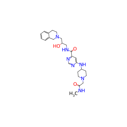 CNC(=O)CN1CCC(Nc2cc(C(=O)NCC(O)CN3CCc4ccccc4C3)ncn2)CC1